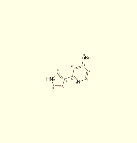 CCCCc1ccnc(-c2cc[nH]n2)c1